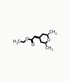 CCOC(=O)/C=C1/C[C@@H](C)O[C@@H](C)C1